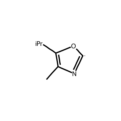 Cc1n[c]oc1C(C)C